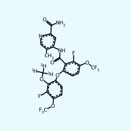 [2H]C([2H])([2H])Oc1c(Oc2ccc(OC(F)(F)F)c(F)c2C(=O)Nc2cc(C(N)=O)ncc2C)ccc(OC(F)(F)F)c1F